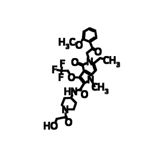 CCc1cc2c(c(OCC(F)(F)F)c(C(=O)NC3CCN(C(=O)CO)CC3)n2C)c(=O)n1CC(=O)c1ccccc1OC